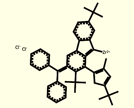 CC1=C(c2c(C(C)(C)C)c(=C(c3ccccc3)c3ccccc3)cc3c2=[C]([Zr+2])c2cc(C(C)(C)C)ccc2-3)CC(C(C)(C)C)=C1.[Cl-].[Cl-]